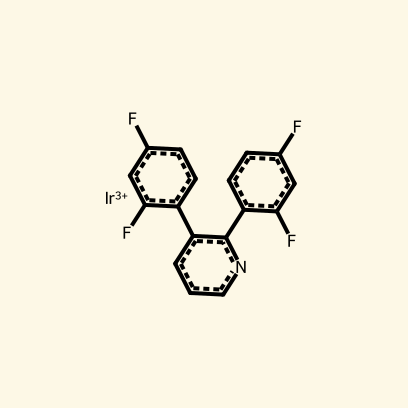 Fc1ccc(-c2cccnc2-c2ccc(F)cc2F)c(F)c1.[Ir+3]